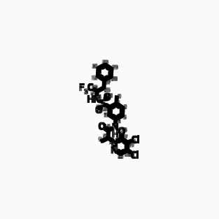 Cc1ccc(NC(=O)C(C)n2ncc(Cl)c(Cl)c2=O)cc1S(=O)(=O)NC(Cc1ccccc1)C(F)(F)F